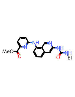 CCNC(=O)Nc1cc2cccc(Nc3cccc(C(=O)OC)n3)c2cn1